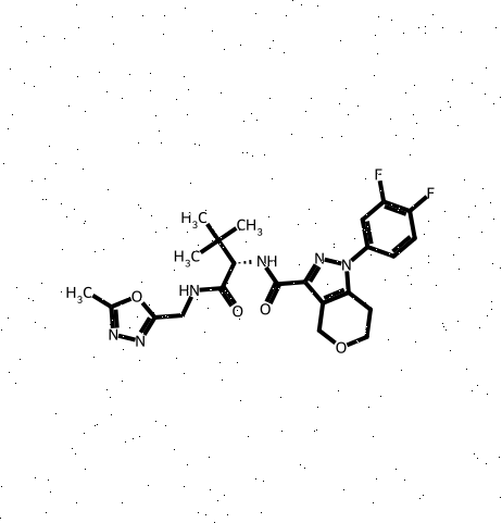 Cc1nnc(CNC(=O)[C@@H](NC(=O)c2nn(-c3ccc(F)c(F)c3)c3c2COCC3)C(C)(C)C)o1